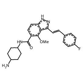 COc1c(C(=O)NC2CCC(N)CC2)ccc2[nH]nc(/C=C/c3ccc(F)cc3)c12